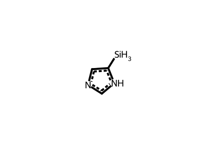 [SiH3]c1cnc[nH]1